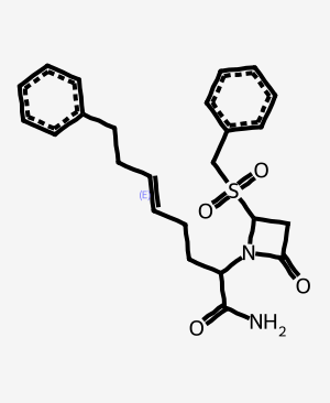 NC(=O)C(CC/C=C/CCc1ccccc1)N1C(=O)CC1S(=O)(=O)Cc1ccccc1